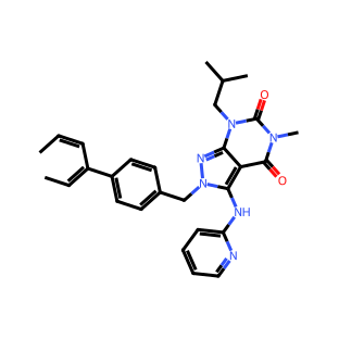 C/C=C\C(=C/C)c1ccc(Cn2nc3c(c2Nc2ccccn2)c(=O)n(C)c(=O)n3CC(C)C)cc1